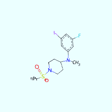 CCCS(=O)(=O)N1CCC(N(C)c2cc(F)cc(I)c2)CC1